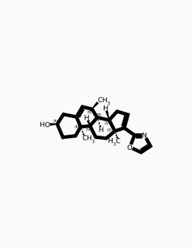 C[C@@H]1C=C2C[C@H](O)CC[C@]2(C)[C@H]2CC[C@]3(C)C(c4ncco4)=CC[C@H]3[C@H]12